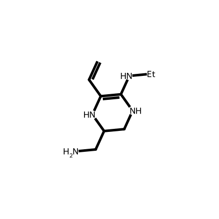 C=CC1=C(NCC)NCC(CN)N1